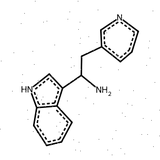 NC(Cc1cccnc1)c1c[nH]c2ccccc12